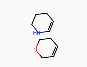 C1=CCOCC1.C1=CNCCC1